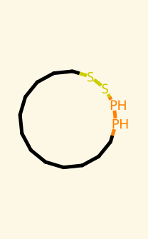 C1CCCCCCSSPPCCCCC1